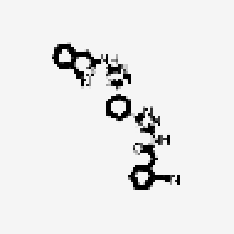 N#Cc1ccccc1CC(=O)Nc1nnc([C@@H]2CCC[C@@H](c3nnc(NC(=O)Cc4ccccc4C#N)s3)C2)s1